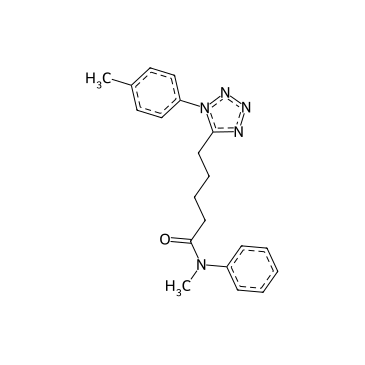 Cc1ccc(-n2nnnc2CCCCC(=O)N(C)c2ccccc2)cc1